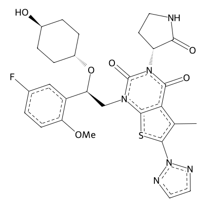 COc1ccc(F)cc1[C@H](Cn1c(=O)n([C@@H]2CCNC2=O)c(=O)c2c(C)c(-n3nccn3)sc21)O[C@H]1CC[C@H](O)CC1